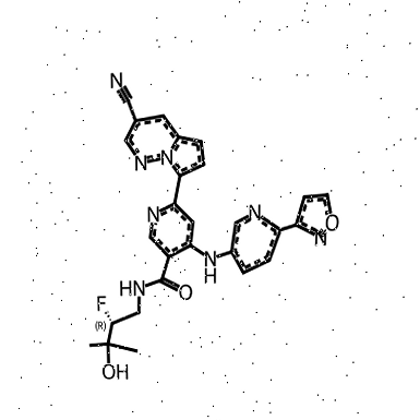 CC(C)(O)[C@H](F)CNC(=O)c1cnc(-c2ccc3cc(C#N)cnn23)cc1Nc1ccc(-c2ccon2)nc1